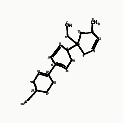 CC1C=CCC(CO)(C2C=CC(C3=CCC(F)CC3)=CC2)C1